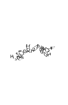 Cc1nc2cc(OC[C@H](O)CN3CCN(CC(=O)N[C@H](C(=O)O)c4ccc(F)cc4)CC3)ccc2s1